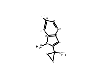 Cn1c(C2(C(F)(F)F)CC2)cc2ncc(Cl)nc21